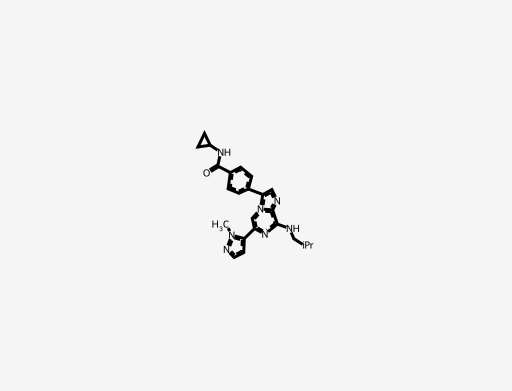 CC(C)CNc1nc(-c2ccnn2C)cn2c(-c3ccc(C(=O)NC4CC4)cc3)cnc12